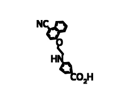 N#Cc1ccc(OCCNc2ccc(C(=O)O)cc2)c2ccccc12